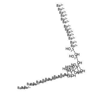 O=S(=O)(O)O.O=S(=O)(O)O.O=S(=O)(O)O.O=S(=O)(O)O.O=S(=O)(O)O.O=S(=O)(O)O.O=S(=O)(O)O.[Ba+2].[Ba+2].[Ba+2].[Ba+2].[Ba+2].[Ba+2].[Ba+2].[Ba+2].[Ba+2].[Ba+2].[Ba+2].[Ba+2].[Ba+2].[Ba+2].[Ba+2].[Ba+2].[Ba+2].[Ba+2].[Ba+2].[Ba+2].[Ba+2].[Ba+2].[Ba+2].[Ba+2].[Ba+2].[Ba+2].[Ba+2].[Ba+2].[Ba+2]